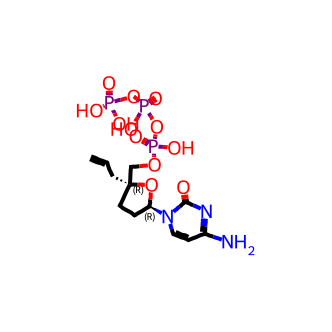 C=CC[C@@]1(COP(=O)(O)OP(=O)(O)OP(=O)(O)O)CC[C@H](n2ccc(N)nc2=O)O1